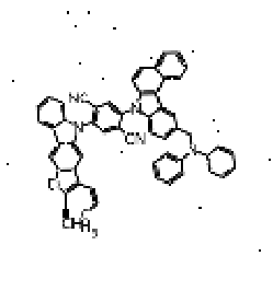 C#Cc1oc2cc3c4ccccc4n(-c4cc(C#N)c(-n5c6ccc(CN(c7ccccc7)c7ccccc7)cc6c6c7ccccc7ccc65)cc4C#N)c3cc2c1/C=C\C